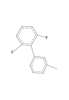 Cc1[c]ccc(-c2c(F)cccc2F)c1